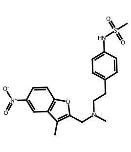 Cc1c(CN(C)CCc2ccc(NS(C)(=O)=O)cc2)oc2ccc([N+](=O)[O-])cc12